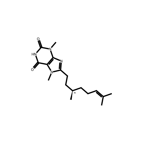 CC(C)=CCC[C@@H](C)CCc1nc2c(c(=O)[nH]c(=O)n2C)n1C